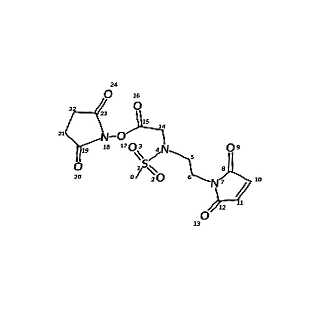 CS(=O)(=O)N(CCN1C(=O)C=CC1=O)CC(=O)ON1C(=O)CCC1=O